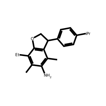 CCc1c(C)c(N)c(C)c2c1OCC2c1ccc(C(C)C)cc1